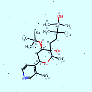 C[C@H]1O[C@@H](c2ccncc2[N+](=O)[O-])C[C@@H](O[Si](C)(C)C(C)(C)C)[C@@]1(O)CCC(C)(C)[Si](C)(C)O